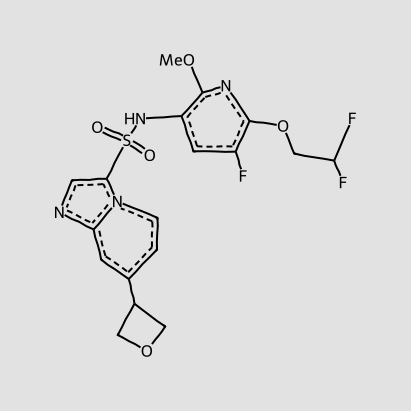 COc1nc(OCC(F)F)c(F)cc1NS(=O)(=O)c1cnc2cc(C3COC3)ccn12